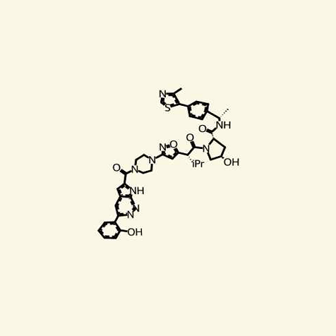 Cc1ncsc1-c1ccc([C@H](C)NC(=O)[C@@H]2C[C@@H](O)CN2C(=O)[C@@H](c2cc(N3CCN(C(=O)c4cc5cc(-c6ccccc6O)nnc5[nH]4)CC3)no2)C(C)C)cc1